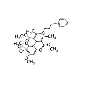 COC(=O)C1=C(C)N(CCCc2ccccc2)C(C)=C(C(=O)OC)C1c1ccc(OC)c(OC)c1OC